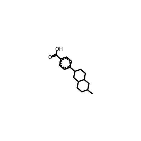 CC1CCC2CC(c3ccc(C(=O)O)cc3)CCC2C1